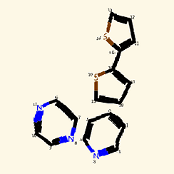 c1ccncc1.c1cnccn1.c1csc(-c2cccs2)c1